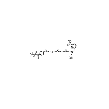 COC(=O)c1cccc(CN(CCO)CCOCCCSCCOCCOc2ccc(NC(=O)OC(C)(C)C)cc2)n1